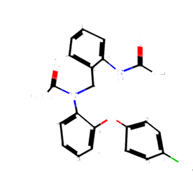 CC(=O)Nc1ccccc1CN(C(C)=O)c1ccccc1Oc1ccc(Cl)cc1